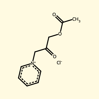 CC(=O)OCC(=O)C[n+]1ccccc1.[Cl-]